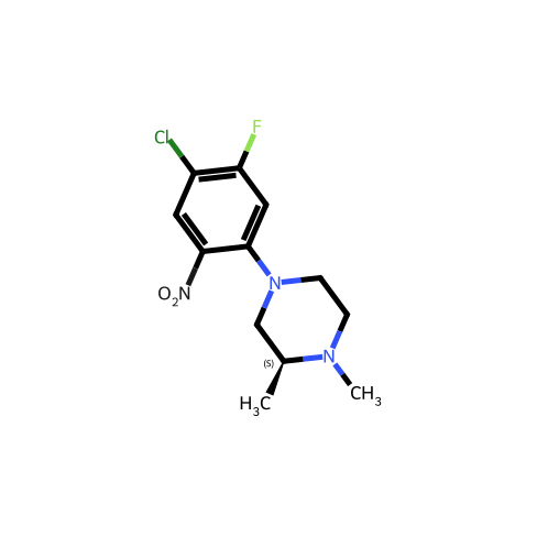 C[C@H]1CN(c2cc(F)c(Cl)cc2[N+](=O)[O-])CCN1C